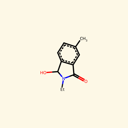 CCN1C(=O)c2cc(C)ccc2C1O